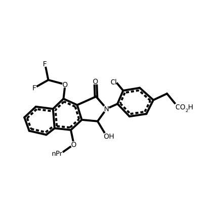 CCCOc1c2c(c(OC(F)F)c3ccccc13)C(=O)N(c1ccc(CC(=O)O)cc1Cl)C2O